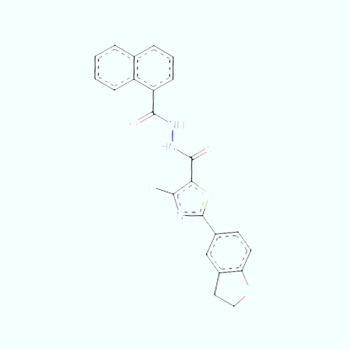 Cc1nc(-c2ccc3c(c2)CCO3)sc1C(=O)NNC(=O)c1cccc2ccccc12